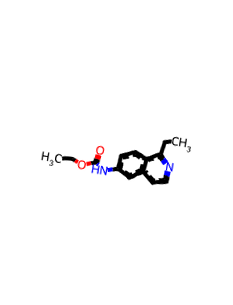 CCOC(=O)Nc1ccc2c(CC)nccc2c1